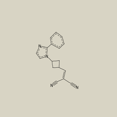 N#CC(C#N)=CC1CC(n2ccnc2-c2ccccc2)C1